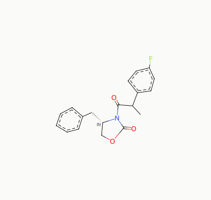 CC(C(=O)N1C(=O)OC[C@@H]1Cc1ccccc1)c1ccc(F)cc1